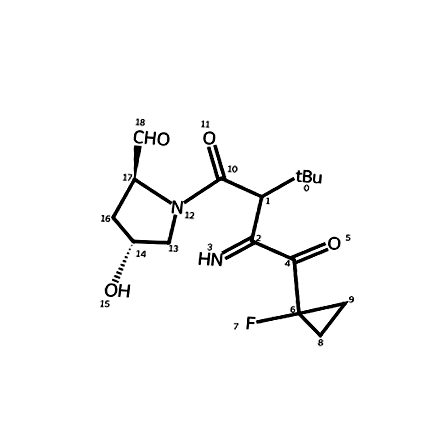 CC(C)(C)C(C(=N)C(=O)C1(F)CC1)C(=O)N1C[C@H](O)C[C@H]1C=O